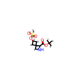 CC(C)(C)OC(=O)C1NCC12CC(OS(C)(=O)=O)C2